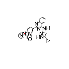 c1ccc2c(Nc3cc(C4CC4)[nH]n3)nc(-c3ccc(N4CC5CC(C4)N5Cc4ccoc4)nc3)nc2c1